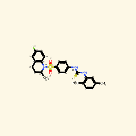 Cc1ccc(C)c(NC(=S)Nc2ccc(S(=O)(=O)N3c4ccc(F)cc4CCC3C)cc2)c1